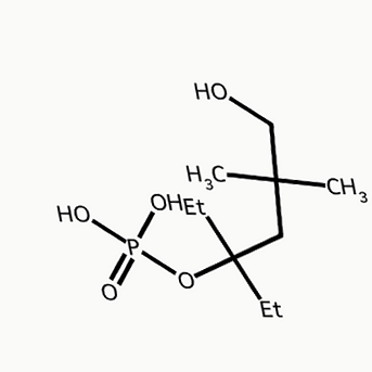 CCC(CC)(CC(C)(C)CO)OP(=O)(O)O